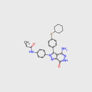 C=CC(=O)Nc1ccc(-n2nc3c(=O)[nH]nc(N)c3c2-c2ccc(SC3CCCCC3)cc2)cc1